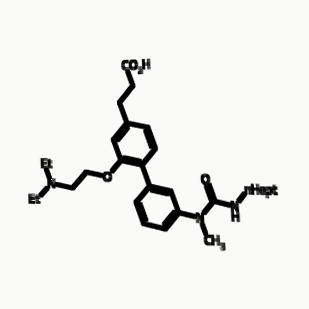 CCCCCCCNC(=O)N(C)c1cccc(-c2ccc(CCC(=O)O)cc2OCCN(CC)CC)c1